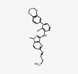 Cn1nc(Nc2cccc(-c3ccc4c(c3)OCCO4)c2Cl)c2nc(C=NCC(=O)O)ccc21